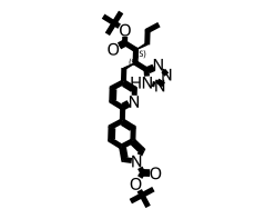 CCC[C@H](C(=O)OC(C)(C)C)[C@H](Cc1ccc(-c2ccc3cn(C(=O)OC(C)(C)C)cc3c2)nc1)c1nnn[nH]1